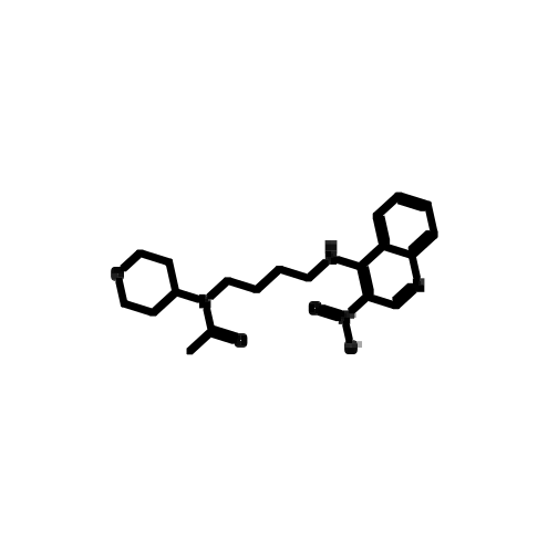 CC(=O)N(CCCCNc1c([N+](=O)[O-])cnc2ccccc12)C1CCOCC1